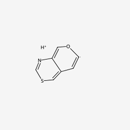 [C]1=CC2=CSC=NC2=CO1.[H+]